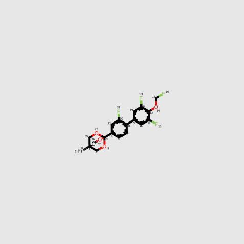 CCCC12COC(c3ccc(-c4cc(F)c(OCF)c(F)c4)c(F)c3)(OC1)OC2